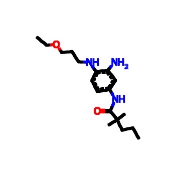 CCCC(C)(C)C(=O)Nc1ccc(NCCCOCC)c(N)c1